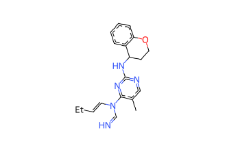 CC/C=C/N(C=N)c1nc(NC2CCOc3ccccc32)ncc1C